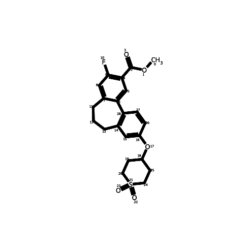 COC(=O)c1cc2c(cc1F)CCCc1cc(OC3CCS(=O)(=O)CC3)ccc1-2